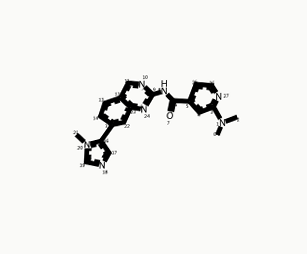 CN(C)c1cc(C(=O)Nc2ncc3ccc(-c4cncn4C)cc3n2)ccn1